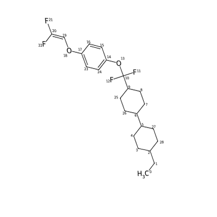 CCC1CCC(C2CCC(C(F)(F)Oc3ccc(OC=C(F)F)cc3)CC2)CC1